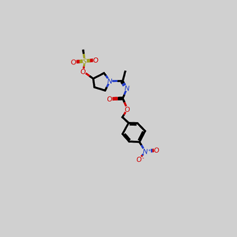 CC(=NC(=O)OCc1ccc([N+](=O)[O-])cc1)N1CCC(OS(C)(=O)=O)C1